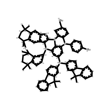 CC(C)(C)c1ccc(N2c3ccc(C(C)(C)C)cc3B3c4sc5cc6c7cc5c4N(c4ccc5c(c4)C(C)(CCC5(C)C)CC7(C)CCC6(C)C)c4cc(N(c5ccc6c(c5)C(C)(C)c5ccccc5-6)c5ccc6c(c5)C(C)(C)c5ccccc5-6)cc2c43)cc1